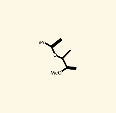 C=C(OC(C)C(=C)OC)C(C)C